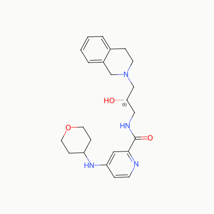 O=C(NC[C@H](O)CN1CCc2ccccc2C1)c1cc(NC2CCOCC2)ccn1